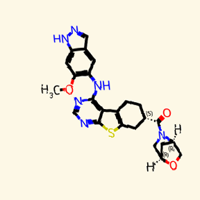 COc1cc2[nH]ncc2cc1Nc1ncnc2sc3c(c12)CC[C@H](C(=O)N1C[C@H]2C[C@@H]1CO2)C3